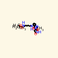 Cc1nc2cccc(NCCCCCCNC(=O)OC(C)(C)C)c2c(=O)n1C1CCC(=O)NC1=O